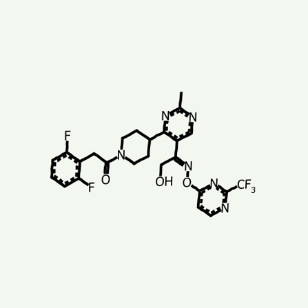 Cc1ncc(C(CO)=NOc2ccnc(C(F)(F)F)n2)c(C2CCN(C(=O)Cc3c(F)cccc3F)CC2)n1